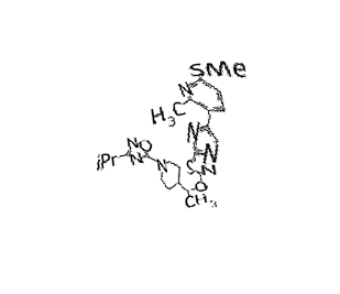 CSc1ccc(-c2cn3nc(OC(C)C4CCN(c5nc(C(C)C)no5)CC4)sc3n2)c(C)n1